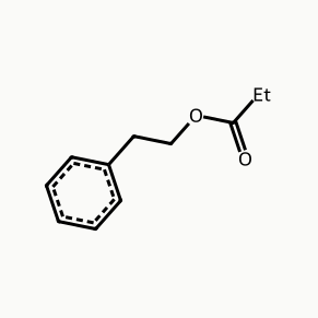 [CH2]CC(=O)OCCc1ccccc1